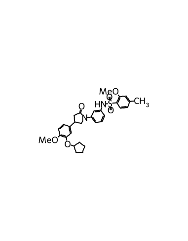 COc1ccc(C2CC(=O)N(c3cccc(NS(=O)(=O)c4ccc(C)cc4OC)c3)C2)cc1OC1CCCC1